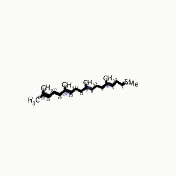 CSCC/C=C(\C)CC/C=C(\C)CC/C=C(\C)CCC=C(C)C